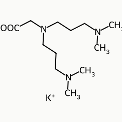 CN(C)CCCN(CCCN(C)C)CC(=O)[O-].[K+]